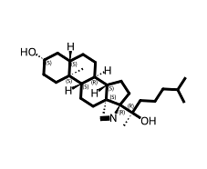 C=N[C@]1([C@](C)(O)CCCC(C)C)CC[C@H]2[C@@H]3CC[C@H]4C[C@@H](O)CC[C@]4(C)[C@H]3CC[C@@]21C